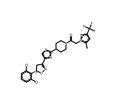 Cc1cc(C(F)(F)F)nn1CC(=O)N1CCC(c2nc(C3=NO[C@@H](c4c(Cl)cccc4Cl)C3)cs2)CC1